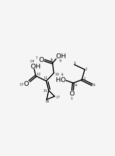 C=C(CC)C(=O)O.O=C(O)CC(C(=O)O)=C1CC1